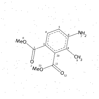 COC(=O)c1ccc(N)c(C)c1C(=O)OC